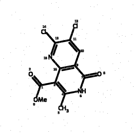 COC(=O)c1c(C)[nH]c(=O)c2cc(Cl)c(Cl)nc12